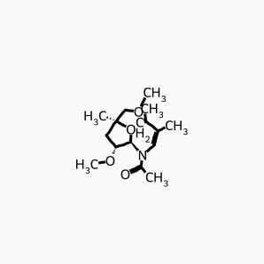 C=C(C)/C(C)=C\N(C(C)=O)[C@@H]1O[C@](C)(COC)C[C@H]1OC